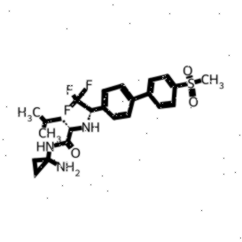 CC(C)C[C@H](N[C@@H](c1ccc(-c2ccc(S(C)(=O)=O)cc2)cc1)C(F)(F)F)C(=O)NC1(N)CC1